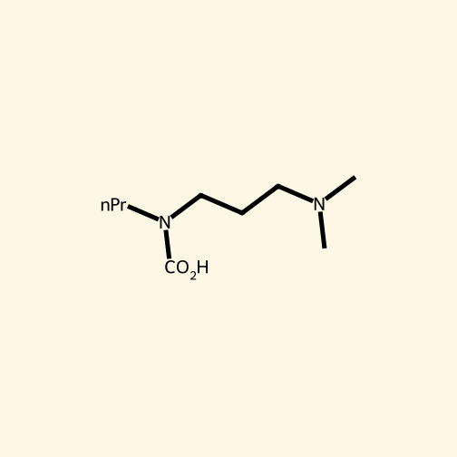 CCCN(CCCN(C)C)C(=O)O